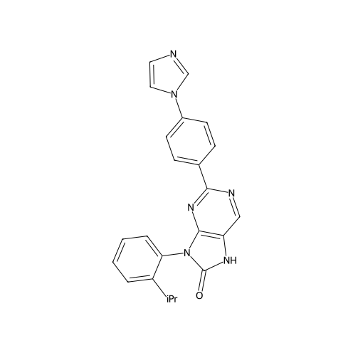 CC(C)c1ccccc1-n1c(=O)[nH]c2cnc(-c3ccc(-n4ccnc4)cc3)nc21